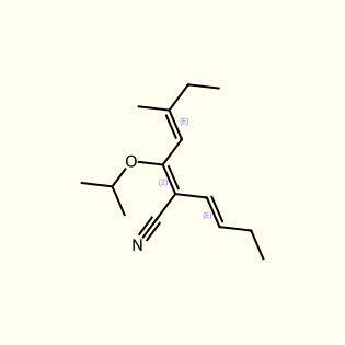 CC/C=C/C(C#N)=C(\C=C(/C)CC)OC(C)C